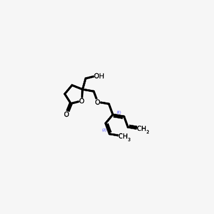 C=C/C=C(\C=C/C)COCC1(CO)CCC(=O)O1